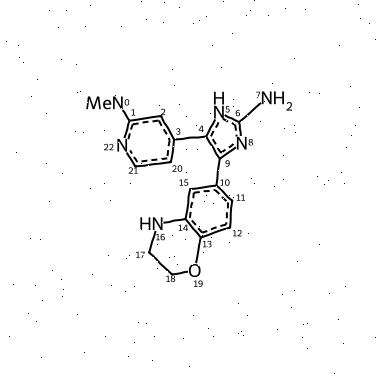 CNc1cc(-c2[nH]c(N)nc2-c2ccc3c(c2)NCCO3)ccn1